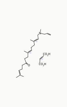 C=CCN(C)C/C=C(\C)CC/C=C(\C)CCC(=O)CCC=C(C)C.O=C(O)/C=C/C(=O)O